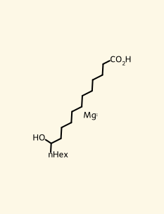 CCCCCCC(O)CCCCCCCCCCC(=O)O.[Mg]